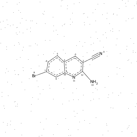 N#Cc1cc2ccc(Br)cc2nc1N